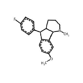 COc1ccc2c(c1)C1C(CCCN1C)C2c1ccc(F)cc1